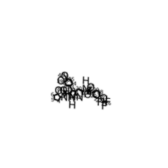 O=C(N[C@H]1CCC[C@H]1O)c1[nH]c2ncc(NS(=O)(=O)c3ccc(OC(F)(F)F)cc3)cc2c1-c1ccc2c(c1)OCO2